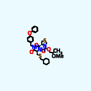 COC(C)COC(=O)N1CSC[C@H]1C(=O)N[C@@H](CSCC1CCCCC1)C(=O)NCc1ccc(Oc2ccccc2)cc1